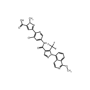 COc1nccc2c(-n3ncc(C(=O)Nc4cnc(-c5cc(C(=O)O)n(C)n5)c(Cl)c4)c3C(F)(F)F)cccc12